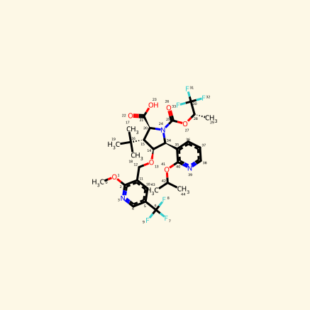 COc1ncc(C(F)(F)F)cc1CO[C@H]1[C@H](C(C)(C)C)[C@@H](C(=O)O)N(C(=O)O[C@@H](C)C(F)(F)F)[C@H]1c1cccnc1OC(C)C